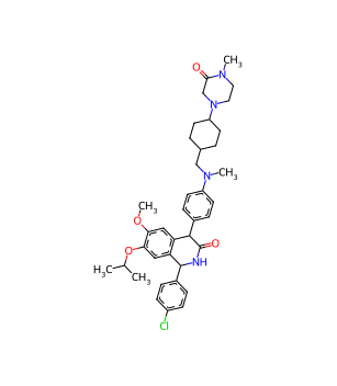 COc1cc2c(cc1OC(C)C)C(c1ccc(Cl)cc1)NC(=O)C2c1ccc(N(C)CC2CCC(N3CCN(C)C(=O)C3)CC2)cc1